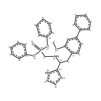 COc1cc(-c2ccccc2)ccc1CC(NCP(=O)(Oc1ccccc1)Oc1ccccc1)c1nnn[nH]1